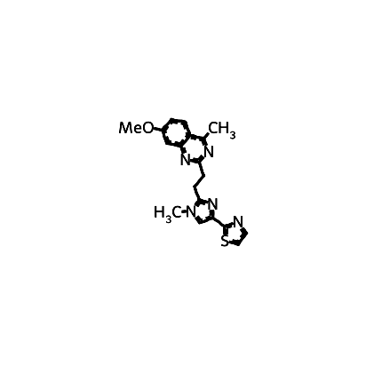 COc1ccc2c(C)nc(CCc3nc(-c4nccs4)cn3C)nc2c1